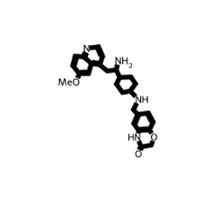 COc1ccc2nccc(CC(N)C3CCC(NCc4ccc5c(c4)NC(=O)CO5)CC3)c2c1